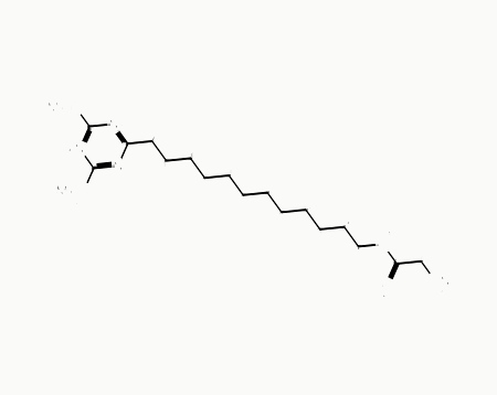 COc1nc(CCCCCCCCCCCCOC(=O)CC#N)nc(OC)n1